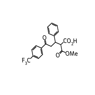 COC(=O)C(C(=O)O)C(CC(=O)c1ccc(C(F)(F)F)cc1)c1ccccc1